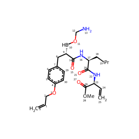 C=CCOc1ccc(C[C@H](BOCN)C(=O)N[C@@H](CC(C)C)C(=O)N[C@@H](C=C)C(=O)OC)cc1